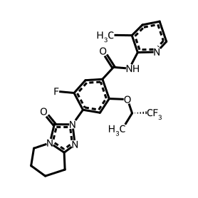 Cc1cccnc1NC(=O)c1cc(F)c(-n2nc3n(c2=O)CCCC3)cc1O[C@@H](C)C(F)(F)F